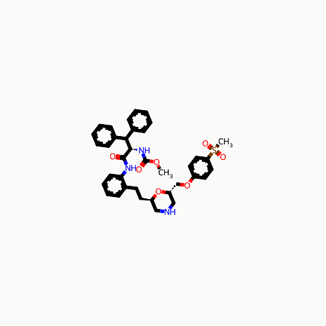 COC(=O)N[C@H](C(=O)Nc1ccccc1CC[C@@H]1CNC[C@@H](COc2ccc(S(C)(=O)=O)cc2)O1)C(c1ccccc1)c1ccccc1